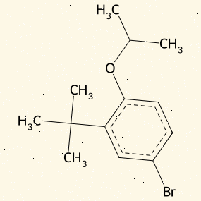 CC(C)Oc1ccc(Br)cc1C(C)(C)C